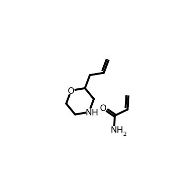 C=CC(N)=O.C=CCC1CNCCO1